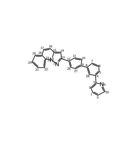 c1ccc(-c2cccc(-c3ccc(-c4cc5ccc6ccccc6n5n4)cc3)c2)nc1